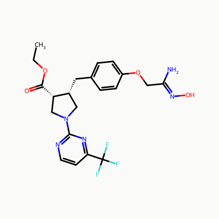 CCOC(=O)[C@H]1CN(c2nccc(C(F)(F)F)n2)C[C@H]1Cc1ccc(OC/C(N)=N/O)cc1